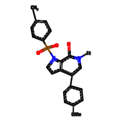 CCn1cc(-c2ccc(OC)cc2)c2ccn(S(=O)(=O)c3ccc(C)cc3)c2c1=O